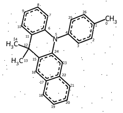 Cc1ccc(N2c3ccccc3C(C)(C)c3cc4ccccc4cc32)cc1